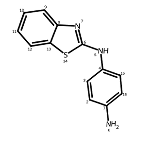 Nc1ccc(Nc2nc3ccccc3s2)cc1